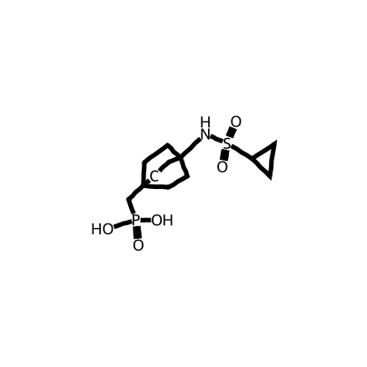 O=P(O)(O)CC12CCC(NS(=O)(=O)C3CC3)(CC1)CC2